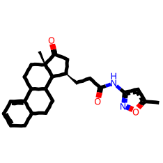 Cc1cc(NC(=O)CC[C@@H]2CC(=O)[C@@]3(C)CCC4C5=CC=CCC5CCC4C23)no1